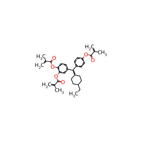 C=C(C)C(=O)Oc1ccc(C(=C2CCC(CC)CC2)c2ccc(OC(=O)C(=C)C)c(OC(=O)C(=C)C)c2)cc1